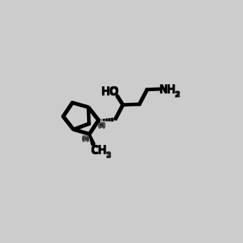 C[C@H]1C2CCC(C2)[C@@H]1CC(O)CCN